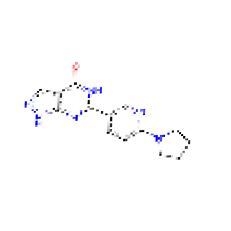 O=c1[nH]c(-c2ccc(N3CCCC3)nc2)nc2[nH]ncc12